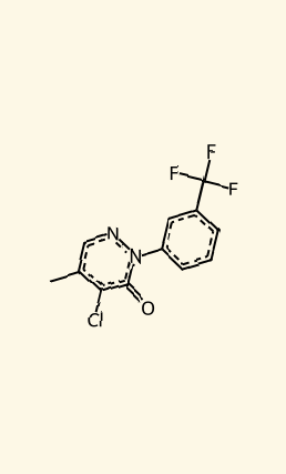 Cc1cnn(-c2cccc(C(F)(F)F)c2)c(=O)c1Cl